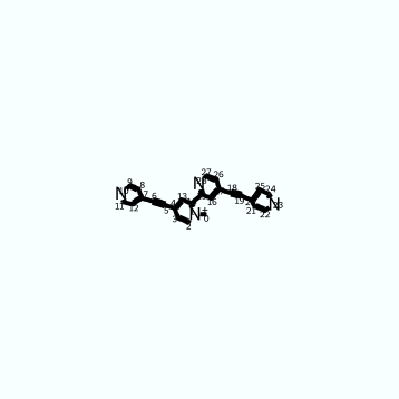 C[n+]1ccc(C#Cc2ccncc2)cc1-c1cc(C#Cc2ccncc2)ccn1